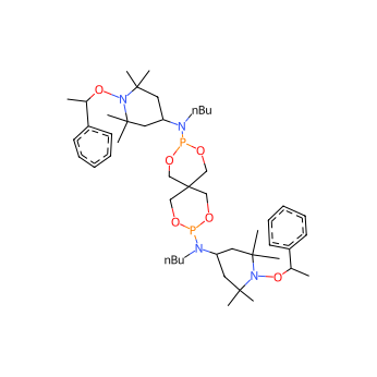 CCCCN(C1CC(C)(C)N(OC(C)c2ccccc2)C(C)(C)C1)P1OCC2(CO1)COP(N(CCCC)C1CC(C)(C)N(OC(C)c3ccccc3)C(C)(C)C1)OC2